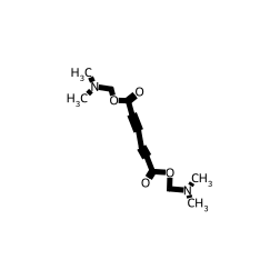 CN(C)COC(=O)C#CC#CC(=O)OCN(C)C